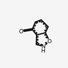 O=c1cccc2o[nH]cc1-2